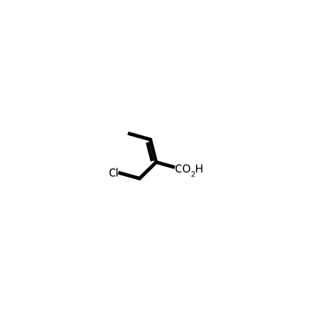 CC=C(CCl)C(=O)O